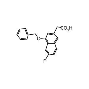 O=C(O)Cc1cc(OCc2ccccc2)c2cc(F)ccc2c1